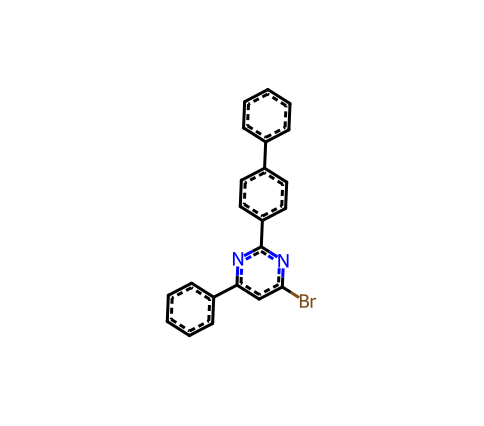 Brc1cc(-c2ccccc2)nc(-c2ccc(-c3ccccc3)cc2)n1